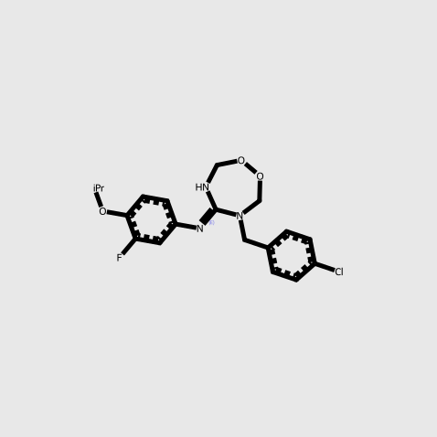 CC(C)Oc1ccc(/N=C2\NCOOCN2Cc2ccc(Cl)cc2)cc1F